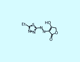 CCc1nnc(N=NC2=C(O)COC2=O)s1